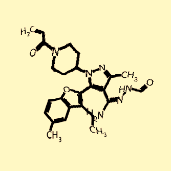 C=CC(=O)N1CCC(n2nc(C)c(/C(N)=N\NC=O)c2-c2oc3ccc(C)cc3c2CC)CC1